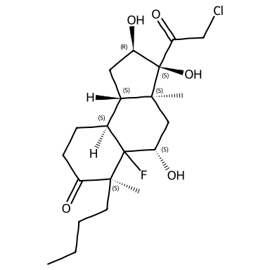 CCCC[C@@]1(C)C(=O)CC[C@H]2[C@@H]3C[C@@H](O)[C@](O)(C(=O)CCl)[C@@]3(C)C[C@H](O)C21F